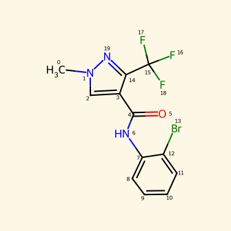 Cn1cc(C(=O)Nc2ccccc2Br)c(C(F)(F)F)n1